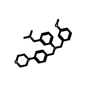 COc1cccc(CN(Cc2ccc(N3CCOCC3)cc2)c2cccc(CN(C)C)c2)c1